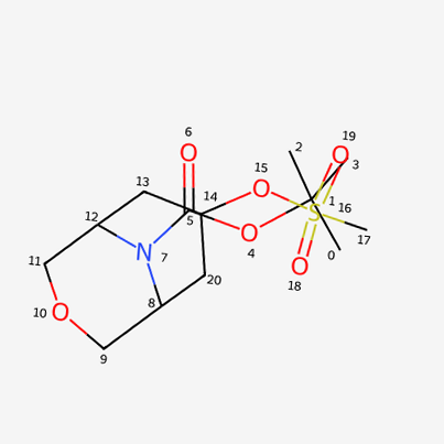 CC(C)(C)OC(=O)N1C2COCC1CC(OS(C)(=O)=O)C2